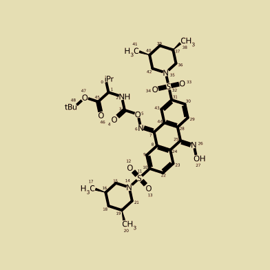 CC(C)C(NC(=O)ON=C1c2cc(S(=O)(=O)N3C[C@H](C)C[C@H](C)C3)ccc2C(=NO)c2ccc(S(=O)(=O)N3C[C@H](C)C[C@H](C)C3)cc21)C(=O)OC(C)(C)C